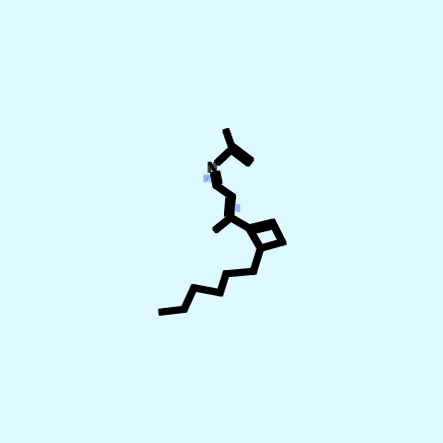 C=C(C)/N=C\C=C(/C)C1=CCC1CCCCCC